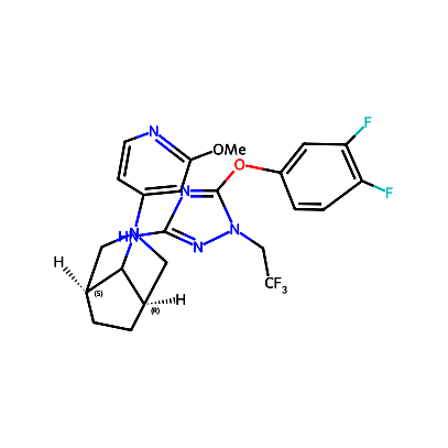 COc1cc(N2C[C@H]3CC[C@@H](C2)C3Nc2nc(Oc3ccc(F)c(F)c3)n(CC(F)(F)F)n2)ccn1